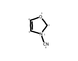 N#CN1[CH]OC=C1